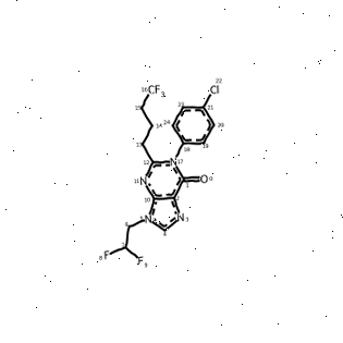 O=c1c2ncn(CC(F)F)c2nc(CCCC(F)(F)F)n1-c1ccc(Cl)cc1